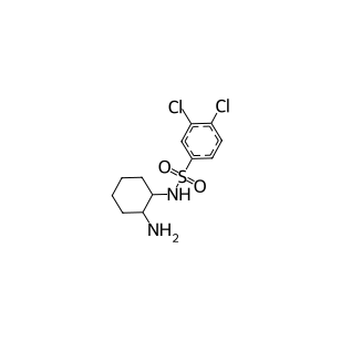 NC1CCCCC1NS(=O)(=O)c1ccc(Cl)c(Cl)c1